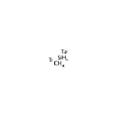 C.[SiH4].[Ta].[Ti]